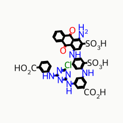 Nc1c(S(=O)(=O)O)cc(Nc2ccc(Nc3cc(Nc4nc(Cl)nc(Nc5cccc(C(=O)O)c5)n4)cc(C(=O)O)c3)c(S(=O)(=O)O)c2)c2c1C(=O)c1ccccc1C2=O